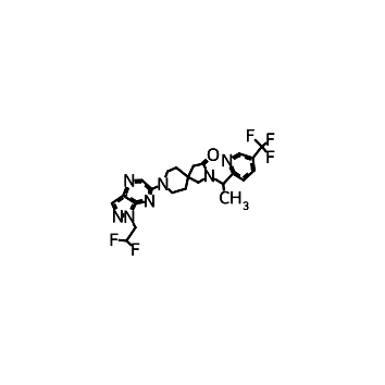 CC(c1ccc(C(F)(F)F)cn1)N1CC2(CCN(c3cnc4cnn(CC(F)F)c4n3)CC2)CC1=O